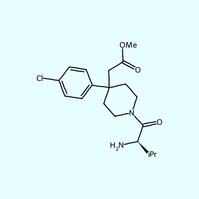 COC(=O)CC1(c2ccc(Cl)cc2)CCN(C(=O)[C@H](N)C(C)C)CC1